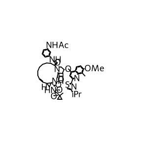 COc1ccc2c(O[C@@H]3C[C@H]4C(=O)N[C@]5(C(=O)NS(=O)(=O)C6(C)CC6)C[C@@H]5/C=C\CCCCC[C@H](Nc5cccc(NC(C)=O)c5)C(=O)N4C3)cc(-c3nc(C(C)C)cs3)nc2c1C